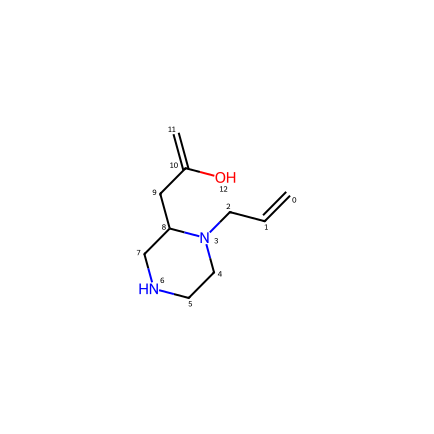 C=CCN1CCNCC1CC(=C)O